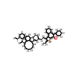 C=Cc1ccccc1C(=C)c1ccccccc(C2=CC(C/C=c3\c(=C/C)sc4c5oc6ccccc6c5c5ccccc5c34)=CCC2)c2ccccc12